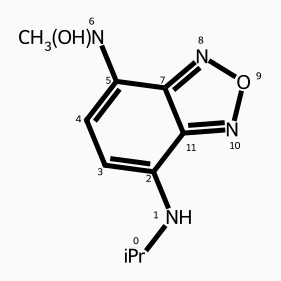 CC(C)Nc1ccc(N(C)O)c2nonc12